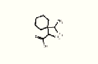 CC(=O)C(C)C1(C(C)C)CCCCC1